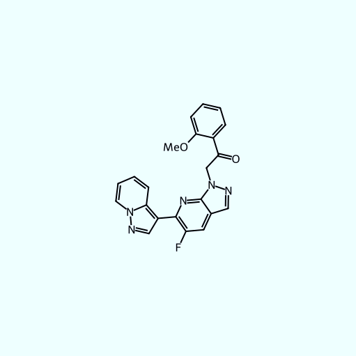 COc1ccccc1C(=O)Cn1ncc2cc(F)c(-c3cnn4ccccc34)nc21